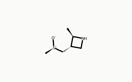 C[C@H]1NC[C@@H]1C[S@@+](C)[O-]